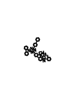 CC1(C)c2cc(-c3nc(-c4ccc(-c5ccccc5)cc4)nc(-n4c5ccccc5c5ccccc54)n3)ccc2-c2ccc3nc(-c4ccccc4)oc3c21